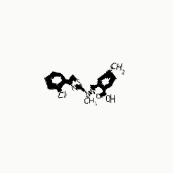 Cc1ccc(C(=O)O)c(/C=N/N(C)c2nc(-c3ccccc3Cl)cs2)c1